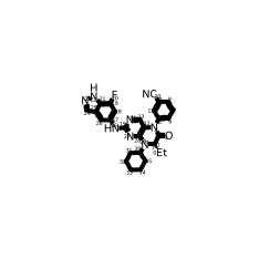 CC[C@@H]1C(=O)N(c2cccc(C#N)c2)c2cnc(Nc3cc(F)c4[nH]ncc4c3)nc2N1C1CCCCC1